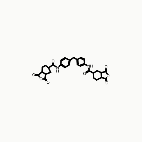 O=C(Nc1ccc(Cc2ccc(NC(=O)C3CCC4C(=O)OC(=O)C4C3)cc2)cc1)C1CCC2C(=O)OC(=O)C2C1